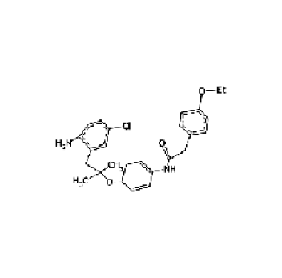 CCOc1ccc(CC(=O)NC2=CCC(OC(C)(C)Cc3cc(Cl)ccc3N)C=C2)cc1